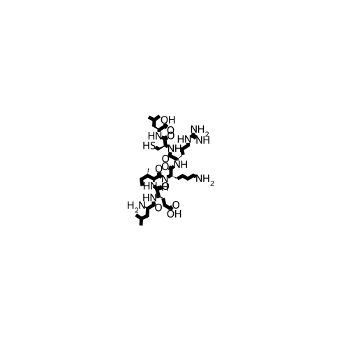 CC[C@H](C)[C@H](NC(=O)[C@H](CCC(=O)O)NC(=O)[C@@H](N)CC(C)C)C(=O)N[C@@H](CCCCN)C(=O)N[C@@H](CCCNC(=N)N)C(=O)N[C@@H](CS)C(=O)N[C@@H](CC(C)C)C(=O)O